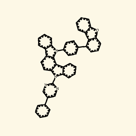 c1ccc(-c2cnc(-n3c4ccccc4c4c3ccc3c5ccccc5n(-c5ccc(-c6cccc7oc8ccccc8c67)cc5)c34)nc2)cc1